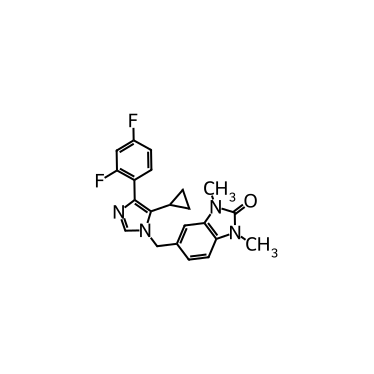 Cn1c(=O)n(C)c2cc(Cn3cnc(-c4ccc(F)cc4F)c3C3CC3)ccc21